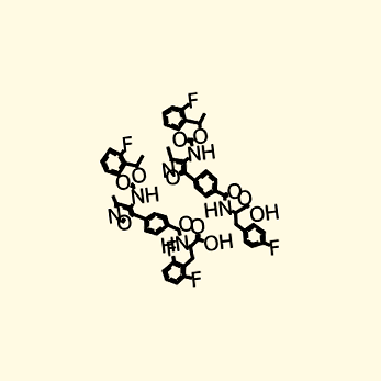 Cc1noc(-c2ccc(C(=O)NC(Cc3c(F)cccc3F)C(=O)O)cc2)c1NC(=O)OC(C)c1ccccc1F.Cc1noc(-c2ccc(C(=O)NC(Cc3ccc(F)cc3)C(=O)O)cc2)c1NC(=O)OC(C)c1ccccc1F